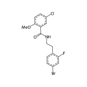 COc1ccc(Cl)cc1C(=O)NCCc1ccc(Br)cc1F